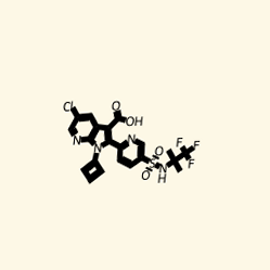 CC(C)(NS(=O)(=O)c1ccc(-c2c(C(=O)O)c3cc(Cl)cnc3n2C2=CC=C2)nc1)C(F)(F)F